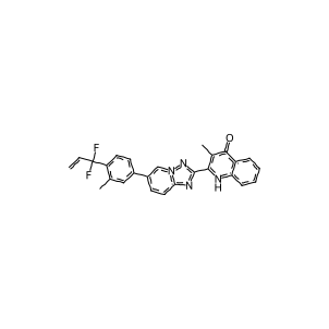 C=CC(F)(F)c1ccc(-c2ccc3nc(-c4[nH]c5ccccc5c(=O)c4C)nn3c2)cc1C